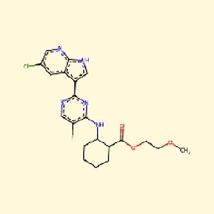 COCCOC(=O)C1CCCCC1Nc1nc(-c2c[nH]c3ncc(Cl)cc23)ncc1F